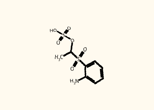 CC(OS(=O)(=O)O)S(=O)(=O)c1ccccc1N